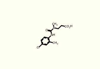 Cc1cc(Cl)ccc1NC(=O)N(C)CCC(=O)O